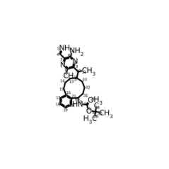 Cc1nc(C=N)c(N)nc1C(C)C1CCCc2ccccc2[C@@H](NC(=O)OC(C)(C)C)CCC1